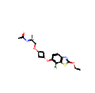 CCOc1nc2ccc(O[C@H]3C[C@H](OC[C@H](C)NC(C)=O)C3)c(Cl)c2s1